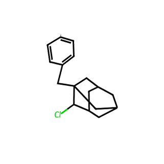 ClC1C2CC3CC(C2)CC1(Cc1cc[c]cc1)C3